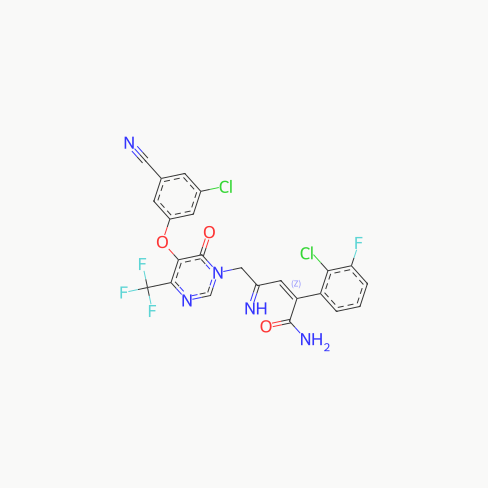 N#Cc1cc(Cl)cc(Oc2c(C(F)(F)F)ncn(CC(=N)/C=C(\C(N)=O)c3cccc(F)c3Cl)c2=O)c1